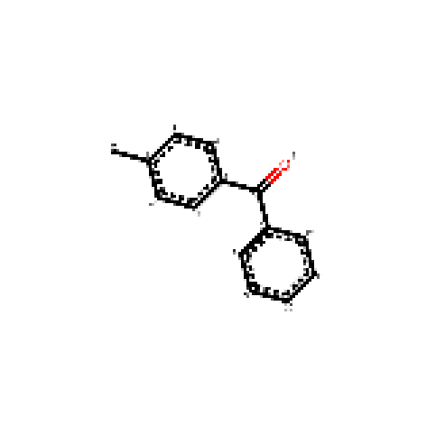 Cc1ccc(C(=O)c2cc[c]cc2)cc1